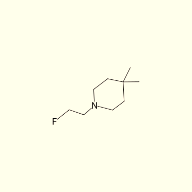 CC1(C)CCN(CCF)CC1